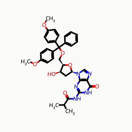 COc1ccc(C(OC[C@H]2O[C@@H](n3cnc4c(=O)[nH]c(NC(=O)C(C)C)nc43)C[C@H]2O)(c2ccccc2)c2ccc(OC)cc2)cc1